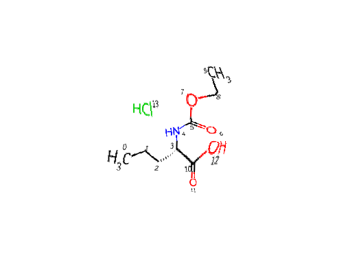 CCC[C@H](NC(=O)OCC)C(=O)O.Cl